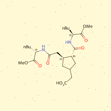 CCCC[C@H](NC(=O)C[C@@H]1CC(CC(=O)O)C[C@H]1C(=O)N[C@@H](CCCC)C(=O)OC)C(=O)OC